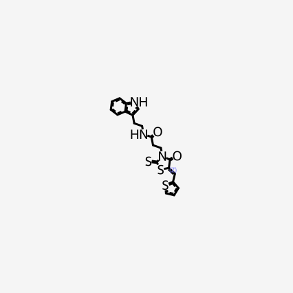 O=C(CCN1C(=O)/C(=C/c2cccs2)SC1=S)NCCc1c[nH]c2ccccc12